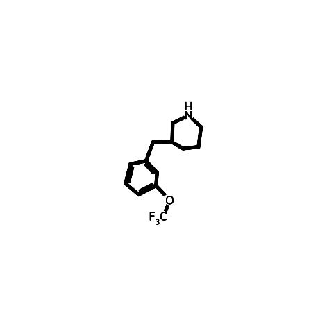 FC(F)(F)Oc1cccc(CC2[CH]CCNC2)c1